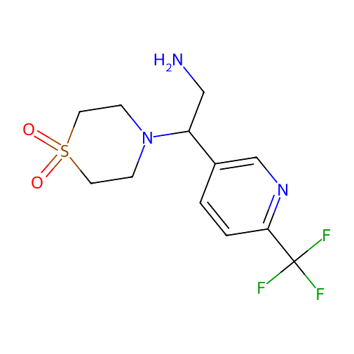 NCC(c1ccc(C(F)(F)F)nc1)N1CCS(=O)(=O)CC1